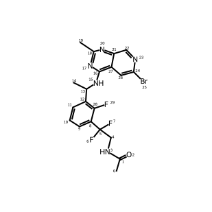 CC(=O)NCC(F)(F)c1cccc(C(C)Nc2nc(C)nc3cnc(Br)cc23)c1F